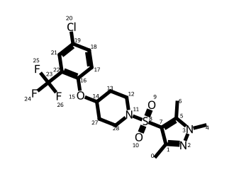 Cc1nn(C)c(C)c1S(=O)(=O)N1CCC(Oc2ccc(Cl)cc2C(F)(F)F)CC1